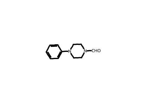 O=CN1CCN(c2[c]cccc2)CC1